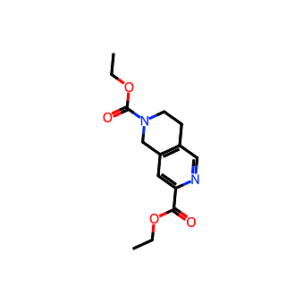 CCOC(=O)c1cc2c(cn1)CCN(C(=O)OCC)C2